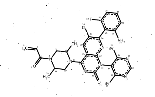 C=CC(=O)N1CC(C)N(c2nc(=O)n(-c3c(C(C)C)ncnc3C(C)C)c3nc(-c4c(N)cccc4F)c(Cl)cc23)CC1C